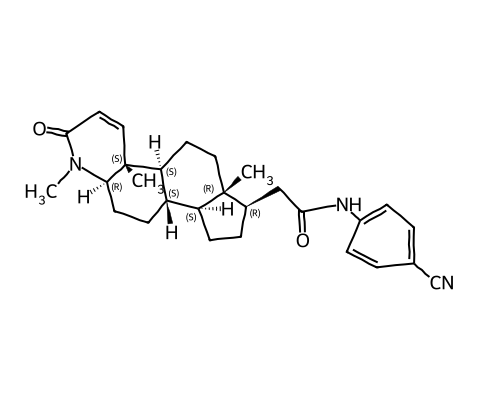 CN1C(=O)C=C[C@]2(C)[C@H]3CC[C@]4(C)[C@@H](CC(=O)Nc5ccc(C#N)cc5)CC[C@H]4[C@@H]3CC[C@@H]12